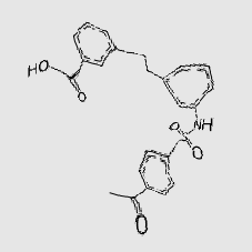 CC(=O)c1ccc(S(=O)(=O)Nc2cccc(CCc3cccc(C(=O)O)c3)c2)cc1